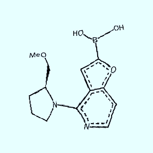 COC[C@@H]1CCCN1c1nccc2oc(B(O)O)cc12